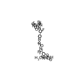 Cn1nc(N2CCC(=O)NC2=O)c2ccc(C3CCN(CC(=O)N4CCC5(C4)CN(c4ccc(-c6cc(F)c7c(c6)C(=O)N(C(C(=O)Nc6nccs6)c6ncn8c6CCC8)C7)cc4)C5)CC3(F)F)cc21